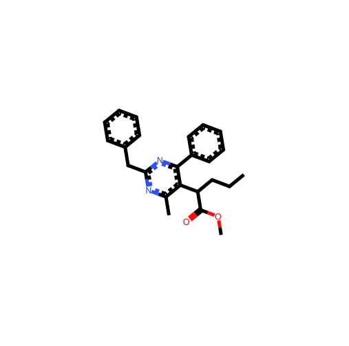 CCCC(C(=O)OC)c1c(C)nc(Cc2ccccc2)nc1-c1ccccc1